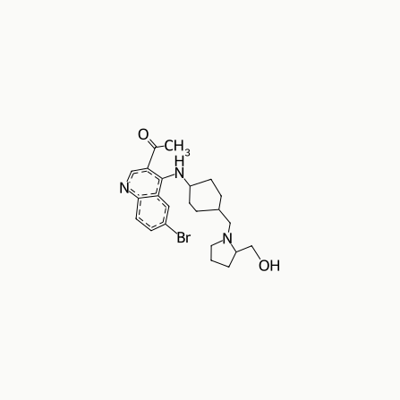 CC(=O)c1cnc2ccc(Br)cc2c1NC1CCC(CN2CCCC2CO)CC1